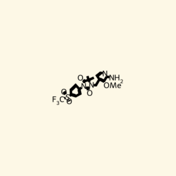 COc1c(CN2C(=O)N(c3ccc(S(=O)(=O)C(F)(F)F)cc3)C(=O)C2(C)C)ccnc1N